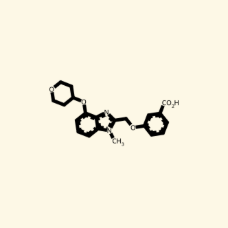 Cn1c(COc2cccc(C(=O)O)c2)nc2c(OC3CCOCC3)cccc21